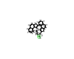 CC1=[C]([Zr+2]([C]2=C(C)Cc3ccc4ccccc4c32)=[Si](C)C)c2c(ccc3ccccc23)C1.[Cl-].[Cl-]